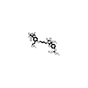 CCCc1cc(C(O)(C(F)(F)F)C(F)(F)F)ccc1OCC=CCN1C(=O)NC(C)(c2ccc(OC(C)C)cc2)C1=O